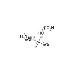 CCCCCCCCC(C)(C)CCCCCCCC.N.N.O=C(O)O